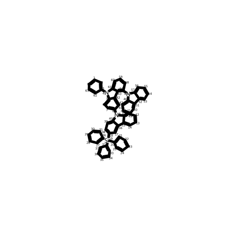 c1ccc(-n2c3ccc(-n4c5ccccc5c5cc([Si](c6ccccc6)(c6ccccc6)c6ccccc6)ccc54)cc3c3c(-n4c5ccccc5c5ccccc54)cccc32)cc1